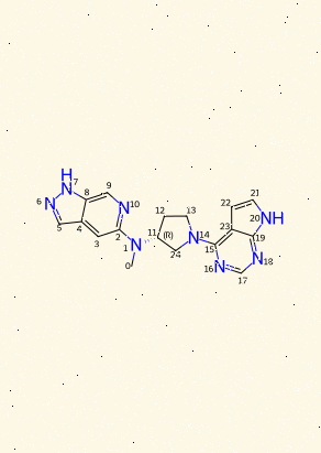 CN(c1cc2cn[nH]c2cn1)[C@@H]1CCN(c2ncnc3[nH]ccc23)C1